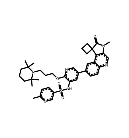 Cc1ccc(S(=O)(=O)Nc2cc(-c3ccc4ncc5c(c4c3)C3(CCC3)C(=O)N5C)cnc2OCCCN2C(C)(C)CCCC2(C)C)cn1